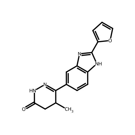 CC1CC(=O)NN=C1c1ccc2[nH]c(-c3ccco3)nc2c1